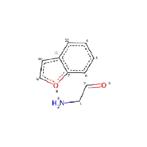 NCC=O.c1ccc2occc2c1